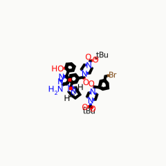 CC(C)(C)OC(=O)N1CCN(C(=O)c2cccc(CBr)c2)CC1.CC(C)(C)OC(=O)N1CCN(C(=O)c2cccc(CN3[C@@H]4CC[C@H]3CN(c3cc(-c5ccccc5O)nnc3N)C4)c2)CC1